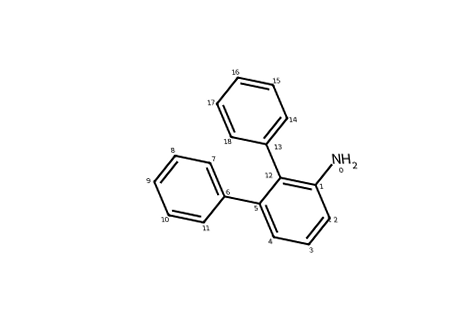 Nc1[c]ccc(-c2ccccc2)c1-c1ccccc1